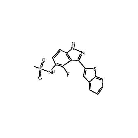 CS(=O)(=O)Nc1ccc2[nH]nc(-c3cc4ccccc4s3)c2c1F